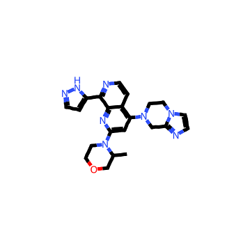 CC1COCCN1c1cc(N2CCn3ccnc3C2)c2ccnc(-c3ccn[nH]3)c2n1